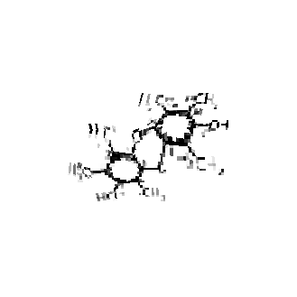 Cc1c(C)c2c(c(C)c1O)Cc1c(C)c(O)c(C)c(C)c1O2